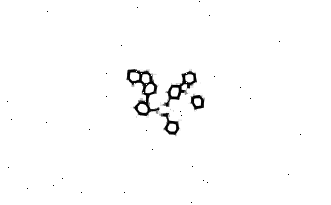 c1ccc(-c2nc(-c3ccc4c5ccccc5n(-c5ccccc5)c4c3)nc(-c3cccc4oc5c(ccc6ccc7ccccc7c65)c34)n2)cc1